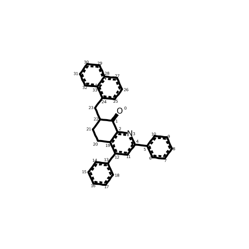 O=C1c2nc(-c3ccccc3)cc(-c3ccccc3)c2CCC1Cc1cccc2ccccc12